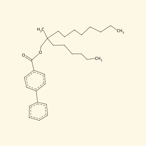 CCCCCCCCC(C)(CCCCCC)COC(=O)c1ccc(-c2ccccc2)cc1